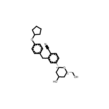 N#Cc1ccc([C@H]2CC(O)C[C@@H](CO)O2)cc1Cc1ccc(OC2CCCC2)cc1